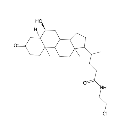 CC(CCC(=O)NCCCl)C1CCC2C3C[C@H](O)[C@@H]4CC(=O)CCC4(C)C3CCC12C